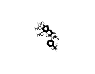 O=C1/C(=C\c2cc(O)c(O)c(O)c2)SC(=S)N1c1cccc(C(F)(F)F)c1